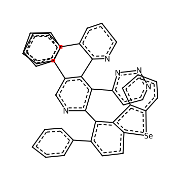 c1ccc(-c2cccnc2-c2c(-c3ccccc3)cnc(-c3c(-c4ccccc4)ccc4[se]c5ccccc5c34)c2-c2ccnnn2)cc1